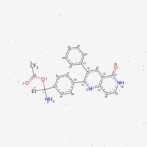 CCC(N)(OC(=O)C(F)(F)F)c1ccc(-c2nc3cc[nH]c(=O)c3cc2-c2ccccc2)cc1